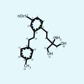 CCCCCCCCc1ccc(CCC(N)(CO)CO)c(CCc2ccc(C)cc2)c1